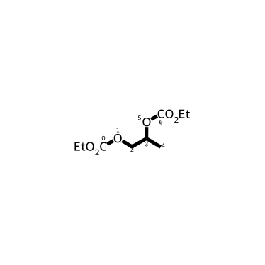 CCOC(=O)OCC(C)OC(=O)OCC